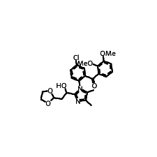 COc1cccc(C(=O)c2cc(Cl)ccc2-n2c(C(O)CC3OCCO3)nc(C)c2C)c1OC